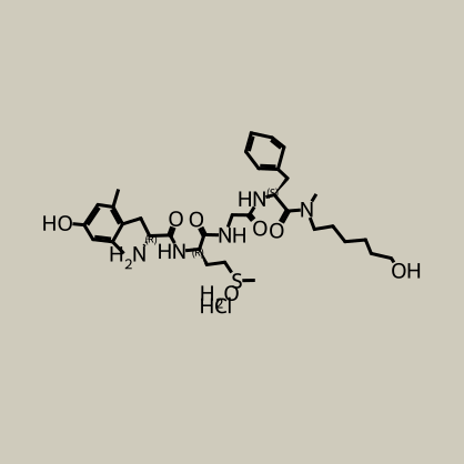 CSCC[C@@H](NC(=O)[C@H](N)Cc1c(C)cc(O)cc1C)C(=O)NCC(=O)N[C@@H](Cc1ccccc1)C(=O)N(C)CCCCCCO.Cl.O